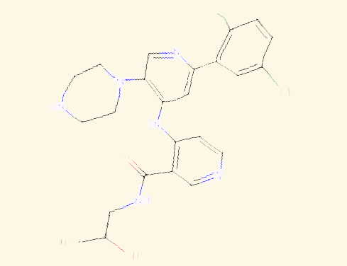 CC(O)CNC(=O)c1cnccc1Nc1cc(-c2cc(Cl)ccc2F)ncc1N1CCNCC1